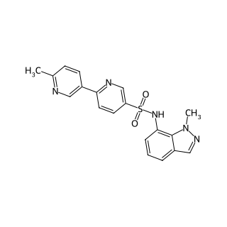 Cc1ccc(-c2ccc(S(=O)(=O)Nc3cccc4cnn(C)c34)cn2)cn1